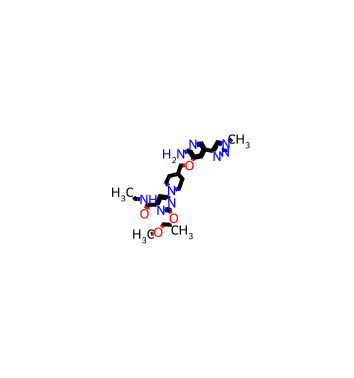 CCNC(=O)c1cc(N2CCC(COc3cc(-c4cn(C)nn4)cnc3N)CC2)nc(O[C@H](C)COC)n1